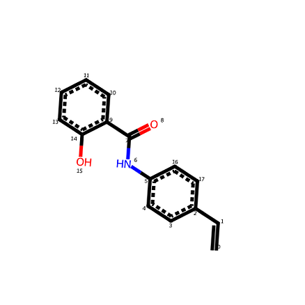 C=Cc1ccc(NC(=O)c2ccccc2O)cc1